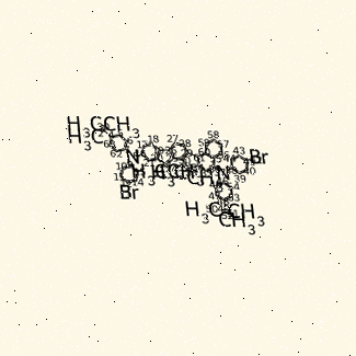 CC(C)(C)c1ccc(N(c2ccc(Br)cc2)c2ccc3c(c2)C(C)(C)c2c-3ccc3c2C(C)(C)c2cc(N(c4ccc(Br)cc4)c4ccc(C(C)(C)C)cc4)c4ccccc4c2-3)cc1